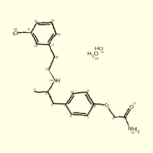 CC(Cc1ccc(OCC(N)=O)cc1)NCCc1cccc(Cl)c1.Cl.O